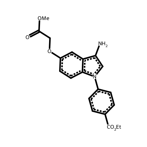 CCOC(=O)c1ccc(-n2cc(N)c3cc(OCC(=O)OC)ccc32)cc1